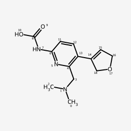 CN(C)Cc1nc(NC(=O)O)ccc1C1=CCOC1